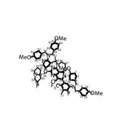 COc1ccc(CN(Cc2ccc(OC)cc2)c2cc(-c3nc4c5c(nc(OC[C@@]67CCCN6C[C@H](F)C7)nc5c3Cl)N([C@H](C)c3cccnc3N(Cc3ccc(OC)cc3)Cc3ccc(OC)cc3)CCO4)c(C(F)(F)F)c(C)c2F)cc1